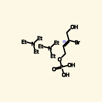 CCN(CC)CC.CCN(CC)CC.O=P(O)(O)OC/C=C(\Br)CO